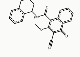 CSc1c(C#N)c(=O)n2ccccc2c1C(=O)NC1CCCc2ccccc21